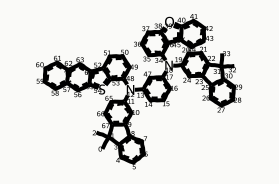 CC1(C)c2ccccc2-c2cc(N(c3cccc(N(c4ccc5c(c4)-c4ccccc4C5(C)C)c4cccc5oc6ccccc6c45)c3)c3cccc4c3sc3cc5ccccc5cc34)ccc21